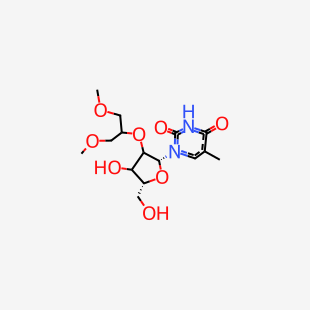 COCC(COC)OC1C(O)[C@@H](CO)O[C@H]1n1cc(C)c(=O)[nH]c1=O